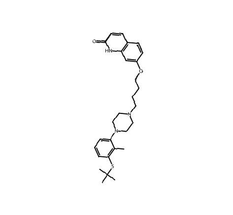 Cc1c(SC(C)(C)C)cccc1N1CCN(CCCCOc2ccc3ccc(=O)[nH]c3c2)CC1